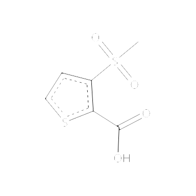 CS(=O)(=O)c1ccsc1C(=O)O